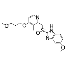 COCCCOc1ccnc(C[S@@+]([O-])c2nc3cc(OC)ccc3[nH]2)c1C